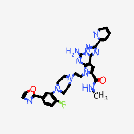 CNC(=O)c1cc2c(nc(N)n3nc(-c4ccccn4)nc23)n1CCN1CCN(c2cc(-c3ncco3)ccc2F)CC1